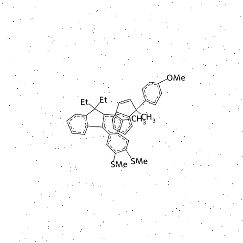 CCC1(CC)c2ccccc2-c2c1c(/C=C\C(C)(c1ccccc1)c1ccc(OC)cc1)c(C)c1cc(SC)c(SC)cc21